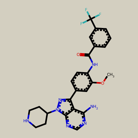 COc1cc(-c2nn(C3CCNCC3)c3ncnc(N)c23)ccc1NC(=O)c1cccc(C(F)(F)F)c1